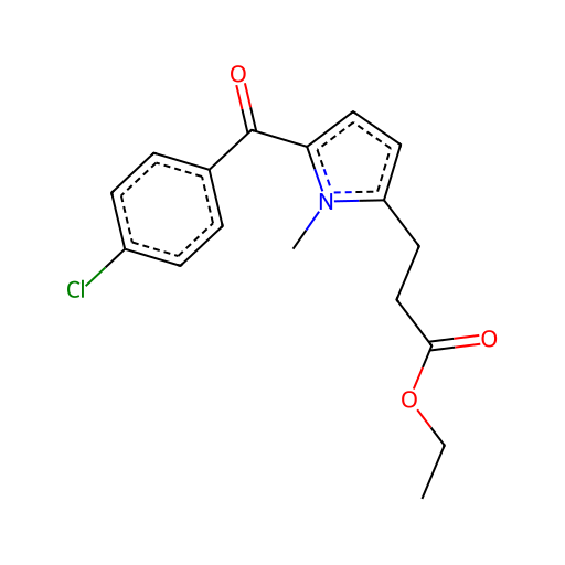 CCOC(=O)CCc1ccc(C(=O)c2ccc(Cl)cc2)n1C